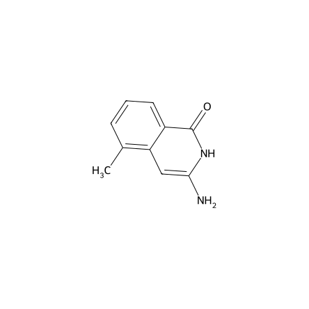 Cc1cccc2c(=O)[nH]c(N)cc12